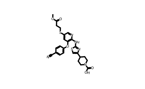 COC(=O)CCSc1cnc(Nc2nc(C3CCN(C(=O)O)CC3)cs2)c(Oc2ccc(C#N)cc2)c1